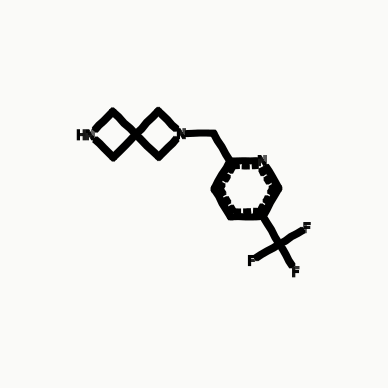 FC(F)(F)c1ccc(CN2CC3(CNC3)C2)nc1